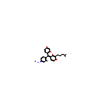 CCCCCC(CC)CCCc1c2oc3cc(O)ccc3c(-c3ccc(N=C=S)cc3C(=O)O)c-2ccc1=O